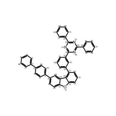 c1ccc(-c2ccc(-c3ccc4oc5cccc(-c6cccc(-c7nc(-c8ccccc8)nc(-c8ccccc8)n7)c6)c5c4c3)cc2)cc1